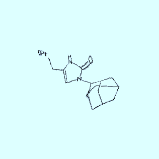 CC(C)Cc1cn(C2C3CC4CC(C3)CC2C4)c(=O)[nH]1